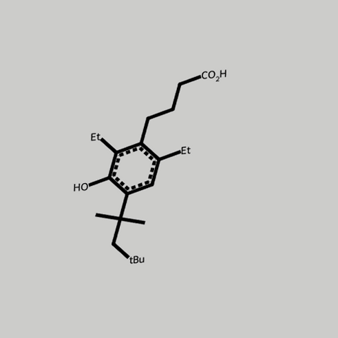 CCc1cc(C(C)(C)CC(C)(C)C)c(O)c(CC)c1CCCC(=O)O